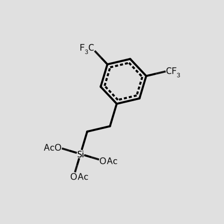 CC(=O)O[Si](CCc1cc(C(F)(F)F)cc(C(F)(F)F)c1)(OC(C)=O)OC(C)=O